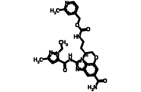 CCn1nc(C)cc1C(=O)Nc1nc2cc(C(N)=O)cc3c2n1[C@@H](CCNC(=O)OCc1ccnc(C)c1)CO3